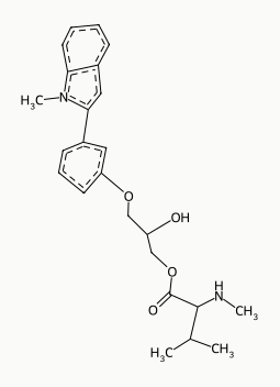 CNC(C(=O)OCC(O)COc1cccc(-c2cc3ccccc3n2C)c1)C(C)C